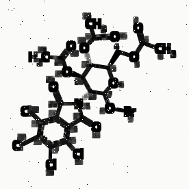 CC(=O)OC[C@H]1OC(OBr)[C@H](N2C(=O)c3c(Cl)c(Cl)c(Cl)c(Cl)c3C2=O)[C@@H](OC(C)=O)[C@@H]1OC(C)=O